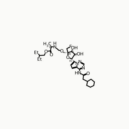 CCC(CC)COC(=O)[C@H](C)NCOC[C@@]1(CF)O[C@@H](c2ccc3c(NC(=O)CC4CCCCC4)ncnn23)[C@H](O)[C@@H]1O